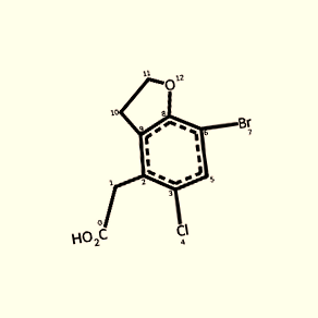 O=C(O)Cc1c(Cl)cc(Br)c2c1CCO2